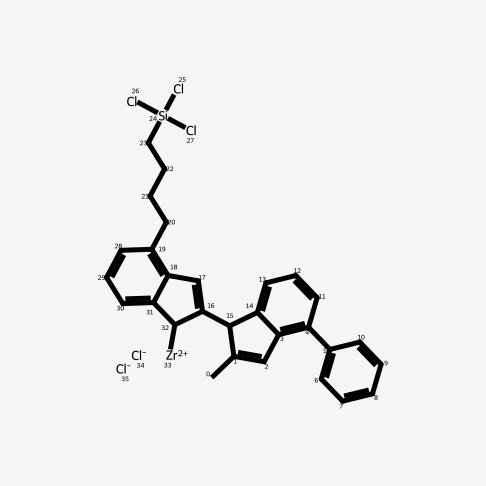 CC1=Cc2c(-c3ccccc3)cccc2C1C1=Cc2c(CCCC[Si](Cl)(Cl)Cl)cccc2[CH]1[Zr+2].[Cl-].[Cl-]